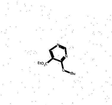 CCOC(=O)c1cncnc1OC(C)(C)C